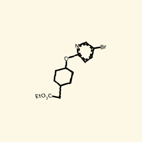 CCOC(=O)CC1CCC(Oc2ccc(Br)cn2)CC1